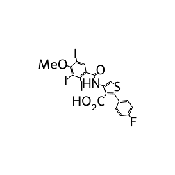 COc1c(I)cc(C(=O)Nc2csc(-c3ccc(F)cc3)c2C(=O)O)c(I)c1I